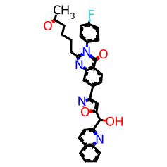 CC(=O)CCCCc1nc2cc(-c3cc(C(O)c4ccc5ccccc5n4)on3)ccc2c(=O)n1-c1ccc(F)cc1